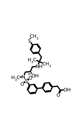 CSc1ccc(CC(C)(C)NC[C@@H](O)CN(C)S(=O)(=O)c2cccc(-c3ccc(CC(=O)O)cc3)c2)cc1